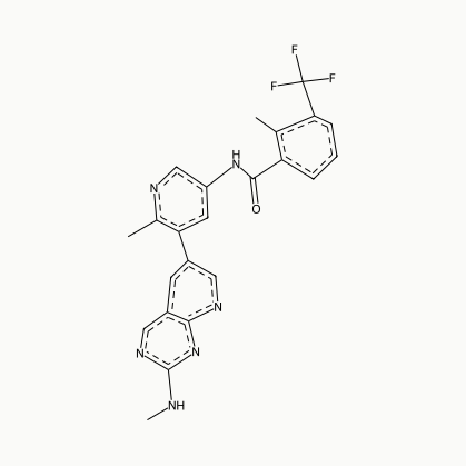 CNc1ncc2cc(-c3cc(NC(=O)c4cccc(C(F)(F)F)c4C)cnc3C)cnc2n1